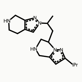 CC(C)c1cc2n(n1)C(CC(C)n1cc3c(n1)CNCC3)CNC2